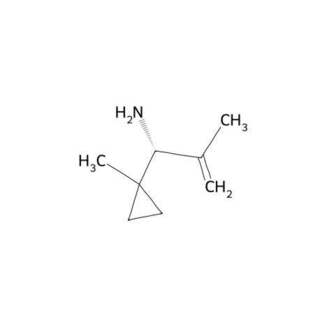 C=C(C)[C@@H](N)C1(C)CC1